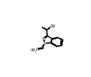 CC(O)c1nn(CC(=O)O)c2ccccc12